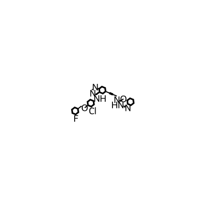 N#CNC(=NCC#Cc1ccc2ncnc(Nc3ccc(OCc4cccc(F)c4)c(Cl)c3)c2c1)Oc1ccccc1